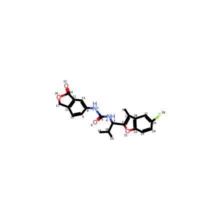 Cc1c(C(NC(=O)Nc2ccc3c(c2)C(=O)OC3)C(C)C)oc2ccc(F)cc12